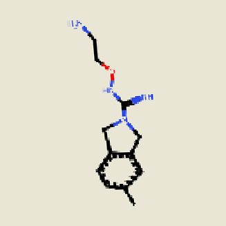 Cc1ccc2c(c1)CN(C(=N)NOCCN)C2